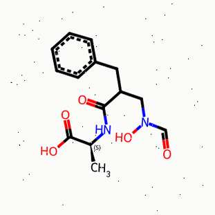 C[C@H](NC(=O)C(Cc1ccccc1)CN(O)C=O)C(=O)O